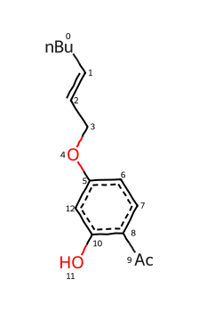 CCCCC=CCOc1ccc(C(C)=O)c(O)c1